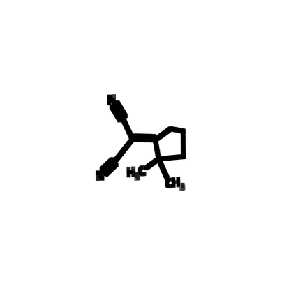 CC1(C)CCCC1=C(C#N)C#N